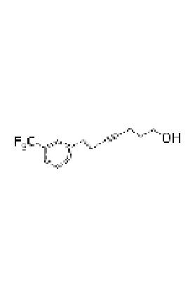 OCCCC#C/C=C/c1cccc(C(F)(F)F)c1